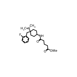 COC(=O)CCCC(=O)NC1CCC(Cc2ccccc2F)(N(C)C)CC1